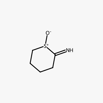 N=C1CCCC[S+]1[O-]